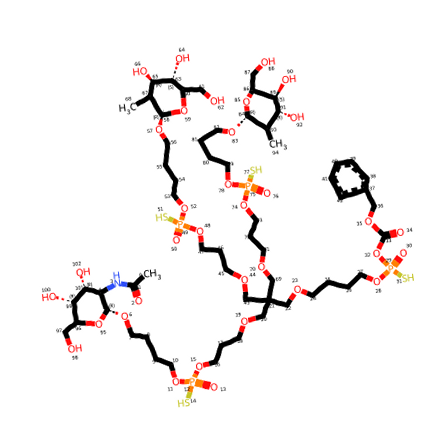 CC(=O)NC1[C@H](OCCCCOP(=O)(S)OCCCOCC(COCCCCOP(=O)(S)OC(=O)OCc2ccccc2)(COCCCOP(=O)(S)OCCCCO[C@@H]2OC(CO)[C@@H](O)[C@H](O)C2C)COCCCOP(=O)(S)OCCCCO[C@@H]2OC(CO)[C@@H](O)[C@H](O)C2C)OC(CO)[C@H](O)[C@@H]1O